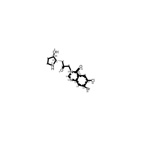 O=C(C[C@@H]1NCC[C@H]1O)Cn1cnc2cc(Br)c(Cl)cc2c1=O